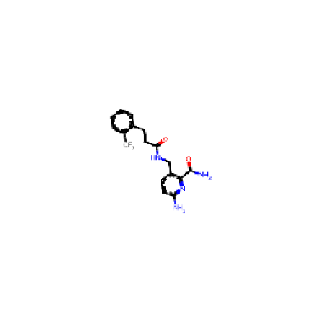 NC(=O)c1nc(N)ccc1CNC(=O)[CH]Cc1ccccc1C(F)(F)F